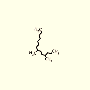 [CH2]CCCCCCC(C)CCC(C)CCC